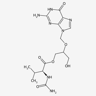 CC(C)[C@H](NC(N)=O)C(=O)OCC(CO)OCn1cnc2c(=O)[nH]c(N)nc21